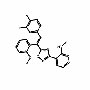 CNc1ncccc1-c1noc(C(=Cc2ccc(C)c(C)c2)c2ccccc2OC)n1